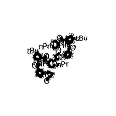 CCCN1CCC(NC(=O)c2ccc(C(C)(C)C)cc2NC(=O)c2cccc(N3CC(C4CC(NC(=O)c5cc(C(C)(C)C)ccc5NC(=O)c5cccc(N6CCCC6=O)c5)CCN4CCC)CC3=O)c2)CC1